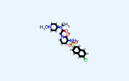 CN1CCC(N(C)C(=O)CN2CCC[C@H](NS(=O)(=O)c3ccc4cc(Cl)ccc4c3)C2=O)CC1